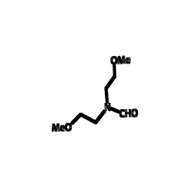 COCCN(C=O)CCOC